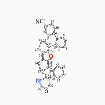 N#Cc1ccc(-c2ccccc2-c2cccc3c2oc2c(-c4ccccc4-c4cccnc4)cccc23)cc1